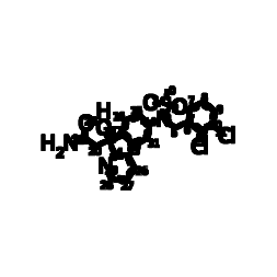 CS(=O)(=O)N(Cc1cccc(Cl)c1Cl)c1ccc(C(O)(CC(N)=O)c2ccccn2)cc1